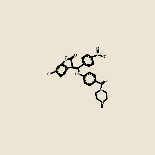 CN1CCN(C(=O)c2ccc(NC(=C3C(=O)Nc4cc(Cl)ccc43)c3ccc([N+](=O)[O-])cc3)cc2)CC1